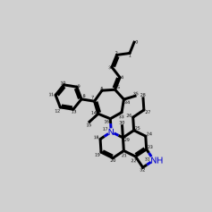 CC/C=C\C=C1/CC(c2ccccc2)=C(C)C(N2CC=CC3C4=C(CC(CCC)C32C)NC4)CC1C